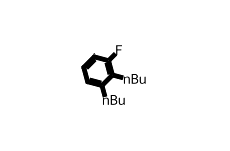 CCCCc1cc[c]c(F)c1CCCC